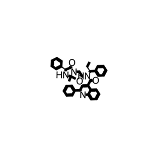 CC[C@H](NC(=O)c1c(OCCN2C(=O)[C@H](c3ccccc3)NC2(C)C)c(-c2ccccc2)nc2ccccc12)c1ccccc1